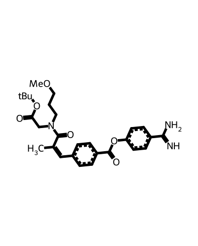 COCCCN(CC(=O)OC(C)(C)C)C(=O)C(C)=Cc1ccc(C(=O)Oc2ccc(C(=N)N)cc2)cc1